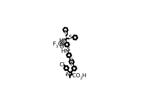 Cc1c(C(=O)O)c(-c2cccc(N3CCN(c4ccc(NSc5ccc(N[C@H](CCN6CCCCC6)CSc6ccccc6)c(S(=O)(=O)C(F)(F)F)c5)cc4)CC3)c2)c(-c2ccc(Cl)cc2)n1C